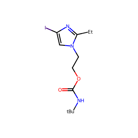 CCc1nc(I)cn1CCOC(=O)NC(C)(C)C